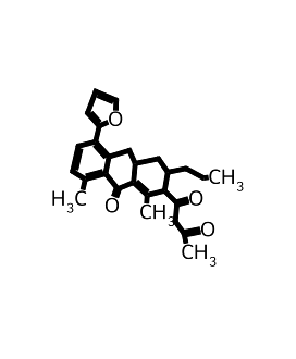 CCCC1CC2Cc3c(-c4ccco4)ccc(C)c3C(=O)C2=C(C)C1C(=O)CC(C)=O